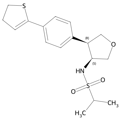 CC(C)S(=O)(=O)N[C@@H]1COC[C@@H]1c1ccc(C2=CCCS2)cc1